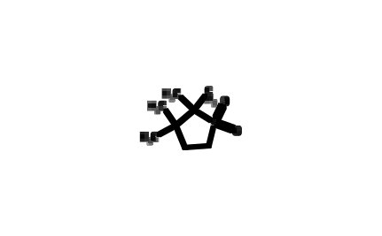 CC1(C)CCS(=O)(=O)C1(C)C